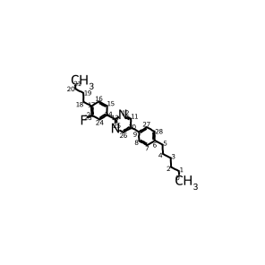 CCCCCCc1ccc(-c2cnc(-c3ccc(CCCC)c(F)c3)nc2)cc1